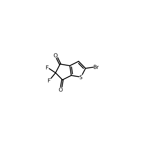 O=C1c2cc(Br)sc2C(=O)C1(F)F